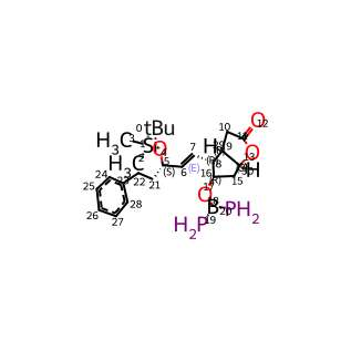 CC(C)(C)[Si](C)(C)O[C@H](/C=C/[C@@H]1[C@H]2CC(=O)O[C@H]2C[C@H]1OB(P)P)CCc1ccccc1